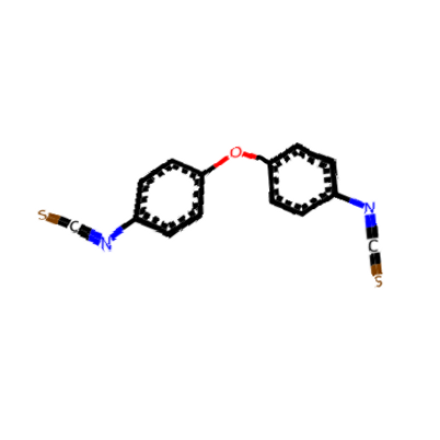 S=C=Nc1ccc(Oc2ccc(N=C=S)cc2)cc1